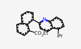 CCOC(=O)c1cccc2cccc(-c3ccc4c(C(C)C)cccc4n3)c12